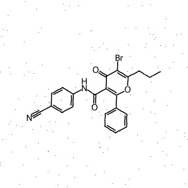 CCCc1oc(-c2ccccc2)c(C(=O)Nc2ccc(C#N)cc2)c(=O)c1Br